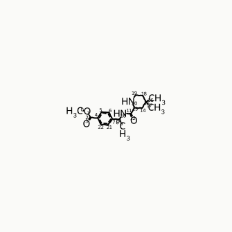 COC(=O)c1ccc([C@H](C)NC(=O)C2CC(C)(C)CCN2)cc1